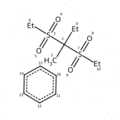 CCC(C)(S(=O)(=O)CC)S(=O)(=O)CC.c1ccccc1